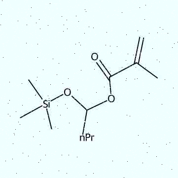 C=C(C)C(=O)OC(CCC)O[Si](C)(C)C